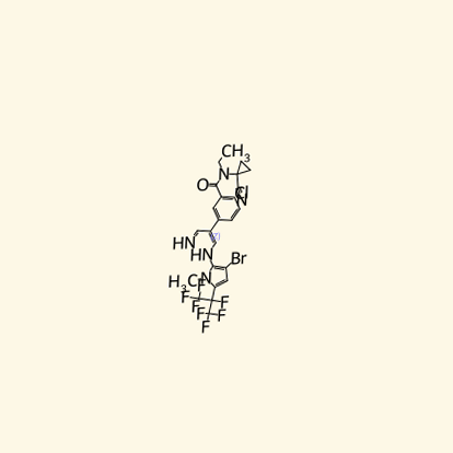 CCN(C(=O)c1cc(/C(C=N)=C/Nc2c(Br)cc(C(F)(C(F)(F)F)C(F)(F)F)n2C)ccc1Cl)C1(C#N)CC1